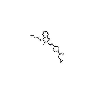 CCCCOc1c(C)c(/C=C/C2CCN(C(=O)CC3CC3)CC2)nc2ccccc12